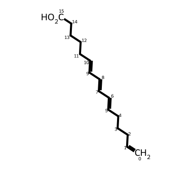 C=CCCCC=CC=CC=CCCCCC(=O)O